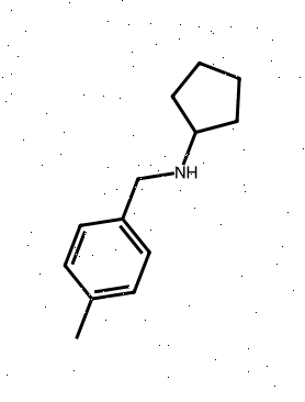 Cc1ccc(CNC2CCCC2)cc1